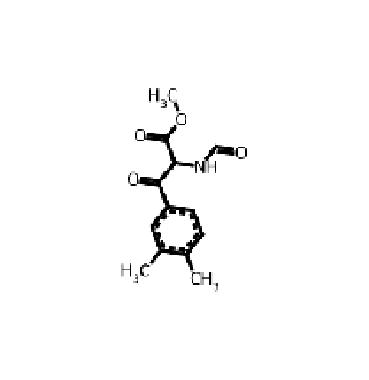 COC(=O)C(NC=O)C(=O)c1ccc(C)c(C)c1